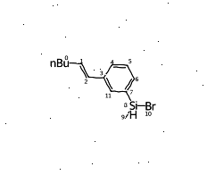 CCCCC=Cc1cccc([SiH](C)Br)c1